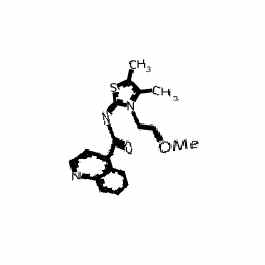 COCCn1c(C)c(C)sc1=NC(=O)c1ccnc2ccccc12